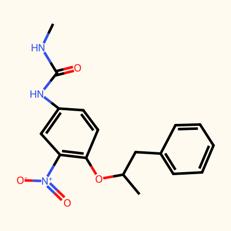 CNC(=O)Nc1ccc(OC(C)Cc2ccccc2)c([N+](=O)[O-])c1